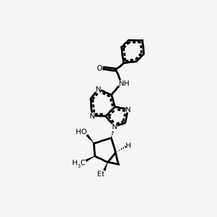 CC[C@]12C[C@@H]1[C@@H](n1cnc3c(NC(=O)c4ccccc4)ncnc31)[C@H](O)[C@@H]2C